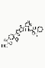 COc1cc(C2(C(=O)O)CC2)ccc1-c1cc2sc(-c3cnn(C)c3NC(=O)O[C@H](C)c3ccccc3)cc2s1